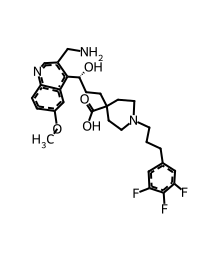 COc1ccc2ncc(CN)c([C@H](O)CCC3(C(=O)O)CCN(CCCc4cc(F)c(F)c(F)c4)CC3)c2c1